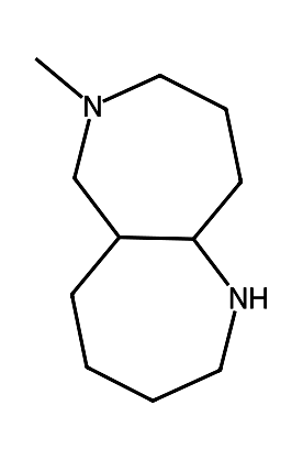 CN1CCCC2NCCCCC2C1